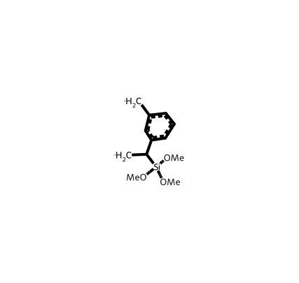 [CH2]c1cccc(C([CH2])[Si](OC)(OC)OC)c1